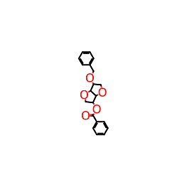 O=C(OC1COC2C(OCc3ccccc3)COC12)c1ccccc1